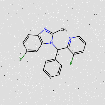 Cc1nc2ccc(Br)cc2n1C(c1ccccc1)c1ncccc1F